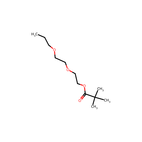 CCCOCCOCCOC(=O)C(C)(C)C